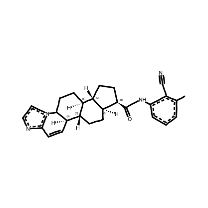 Cc1cccc(NC(=O)[C@@H]2CC[C@H]3[C@@H]4CCC5[C@H](C=Cc6nccn65)[C@H]4CC[C@@H]32)c1C#N